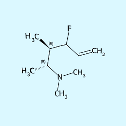 C=CC(F)[C@H](C)[C@@H](C)N(C)C